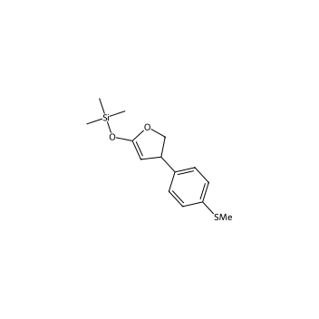 CSc1ccc(C2C=C(O[Si](C)(C)C)OC2)cc1